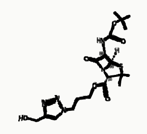 CC(C)(C)OC(=O)N[C@@H]1C(=O)N2[C@@H]1SC(C)(C)[C@@H]2C(=O)OCCCn1cc(CO)nn1